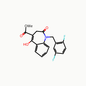 COC(=O)C1=C(O)c2ccccc2N(Cc2cc(F)ccc2F)C(=O)C1